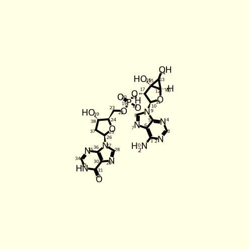 Nc1ncnc2c1ncn2[C@@H]1O[C@@H]2C(O)[C@]2(O)[C@H]1OP(=O)(O)OC[C@H]1O[C@@H](n2cnc3c(=O)[nH]cnc32)C[C@@H]1O